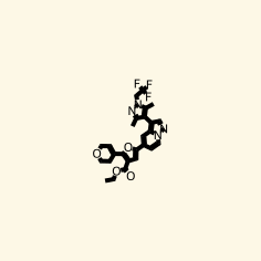 CCOC(=O)c1cc(-c2ccn3ncc(-c4c(C)nn(CC(F)(F)F)c4C)c3c2)oc1C1=CCOCC1